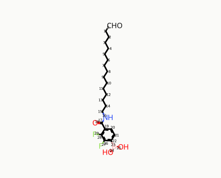 O=CCCCCCCCCCCCCCCCNC(=O)c1ccc(B(O)O)c(F)c1F